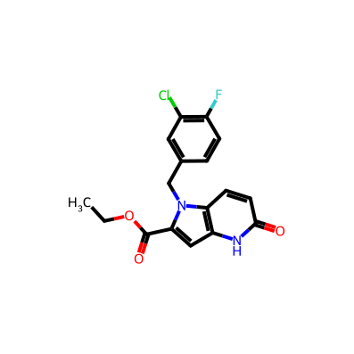 CCOC(=O)c1cc2[nH]c(=O)ccc2n1Cc1ccc(F)c(Cl)c1